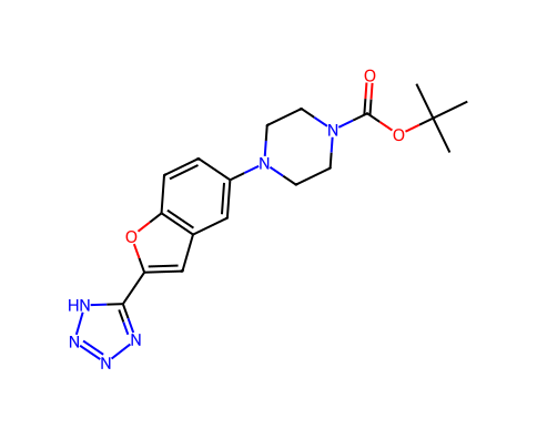 CC(C)(C)OC(=O)N1CCN(c2ccc3oc(-c4nnn[nH]4)cc3c2)CC1